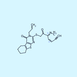 C#C/C=C\C(=N/C)C(=O)CSc1nc2sc3c(c2c(=O)n1CC=C)CCCC3